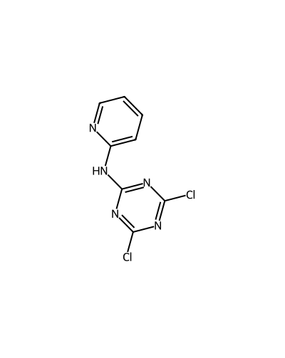 Clc1nc(Cl)nc(Nc2ccccn2)n1